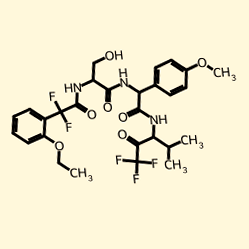 CCOc1ccccc1C(F)(F)C(=O)NC(CO)C(=O)NC(C(=O)NC(C(=O)C(F)(F)F)C(C)C)c1ccc(OC)cc1